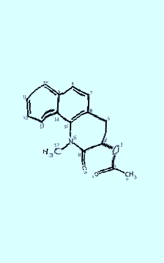 CC(=O)OC1Cc2ccc3ccccc3c2N(C)C1=O